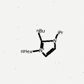 CCCCCC[n+]1ccn(C(C)C)c1CCCC